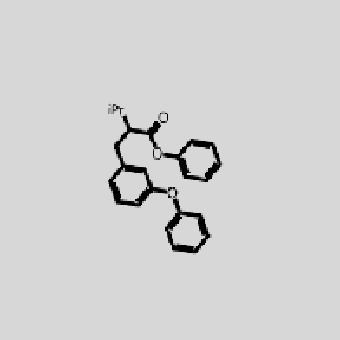 CC(C)C(Cc1cccc(Oc2ccccc2)c1)C(=O)Oc1ccccc1